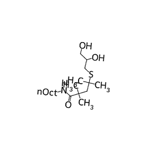 CCCCCCCCNC(=O)C(C)(C)CC(C)(C)SCC(O)CO